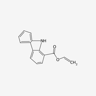 C=COC(=O)c1cccc2c1[nH]c1ccccc12